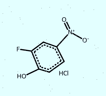 Cl.O=[N+]([O-])c1ccc(O)c(F)c1